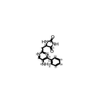 Nc1cnc(CC2NC(=O)NC2=O)nc1-c1ccccc1